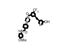 COc1ccc(NC(=O)c2ccc(N3CCN(C(=O)c4cc(C#Cc5cncc(O)c5)cc(C(F)(F)F)c4)CC3)cc2)cc1